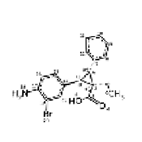 CC[C@@]1(C(=O)O)[C@@H](c2ccccc2)[C@@H]1c1ccc(N)c(Br)c1